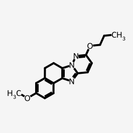 CCCOc1ccc2nc3c(n2n1)CCc1cc(OC)ccc1-3